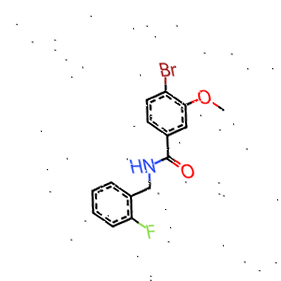 COc1cc(C(=O)NCc2ccccc2F)ccc1Br